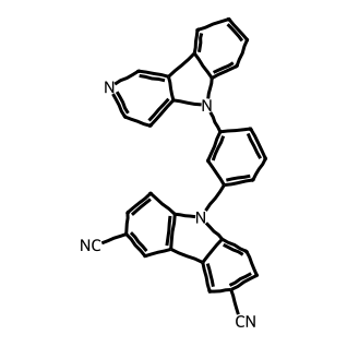 N#Cc1ccc2c(c1)c1cc(C#N)ccc1n2-c1cccc(-n2c3ccccc3c3cnccc32)c1